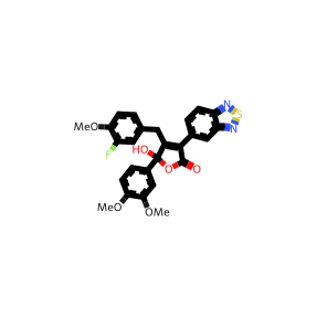 COc1ccc(CC2=C(c3ccc4nsnc4c3)C(=O)OC2(O)c2ccc(OC)c(OC)c2)cc1F